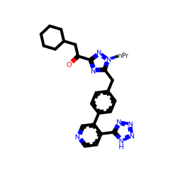 CCCn1nc(C(=O)CC2CCCCC2)nc1Cc1ccc(-c2cnccc2-c2nnn[nH]2)cc1